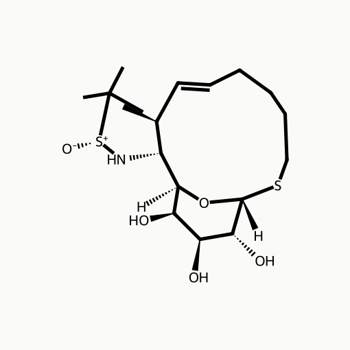 C[C@H]1/C=C/CCCCS[C@H]2O[C@@H]([C@H](O)[C@H](O)[C@H]2O)[C@@H]1N[S@+]([O-])C(C)(C)C